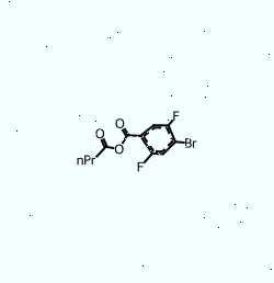 CCCC(=O)OC(=O)c1cc(F)c(Br)cc1F